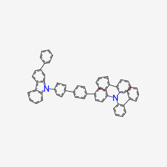 c1ccc(-c2ccc3c4ccccc4n(-c4ccc(-c5ccc(-c6ccc(N(c7ccccc7-c7ccccc7)c7ccccc7-c7ccccc7)cc6)cc5)cc4)c3c2)cc1